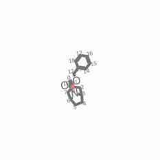 C=C1CC2CCC(C1)N2C(=O)OCc1ccccc1